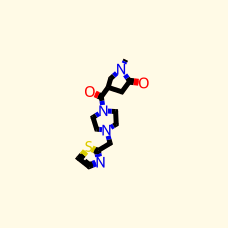 CN1CC(C(=O)N2CCN(Cc3nccs3)CC2)CC1=O